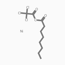 CCCCCCCC(=O)OC(=O)C(Cl)(Cl)Cl.[Ni]